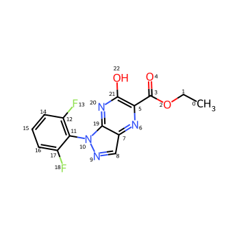 CCOC(=O)c1nc2cnn(-c3c(F)cccc3F)c2nc1O